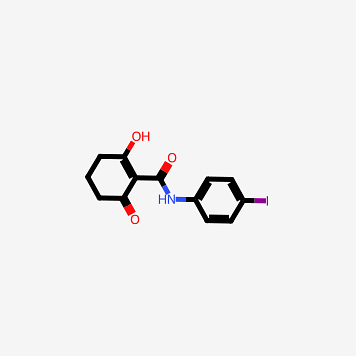 O=C1CCCC(O)=C1C(=O)Nc1ccc(I)cc1